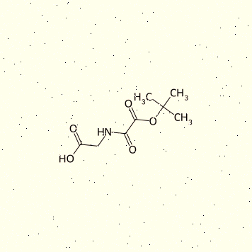 CC(C)(C)OC(=O)C(=O)NCC(=O)O